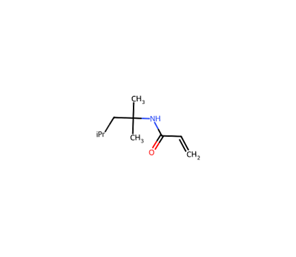 C=CC(=O)NC(C)(C)CC(C)C